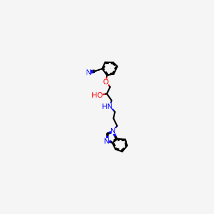 N#Cc1ccccc1OCC(O)CNCCCn1cnc2ccccc21